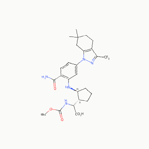 CC1(C)CCc2c(C(F)(F)F)nn(-c3ccc(C(N)=O)c(N[C@H]4CCC[C@@H]4C(NC(=O)OC(C)(C)C)C(=O)O)c3)c2C1